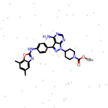 Cc1cc(C)c2oc(Nc3ccc(-c4nn(C5CCN(C(=O)OC(C)(C)C)CC5)c5ncnc(N)c45)cc3)nc2c1